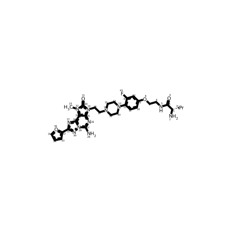 CC(C)[C@H](N)C(=O)NCCOc1ccc(N2CCN(CCn3c(=O)n(C)c4c3nc(N)n3nc(-c5ccco5)nc43)CC2)c(F)c1